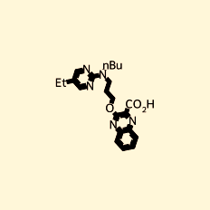 CCCCN(CCCOc1nc2ccccc2nc1C(=O)O)c1ncc(CC)cn1